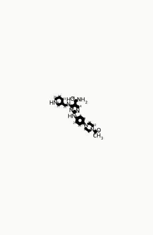 CC(=O)N1CCN(c2ccc(Nc3ncc(C(N)=O)c(NCC4CCCNC4)n3)cc2)CC1